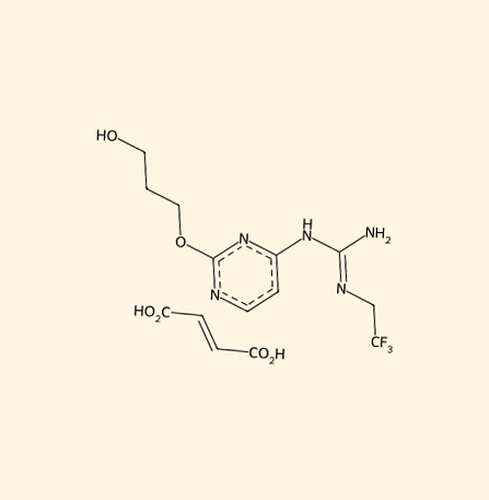 NC(=NCC(F)(F)F)Nc1ccnc(OCCCO)n1.O=C(O)C=CC(=O)O